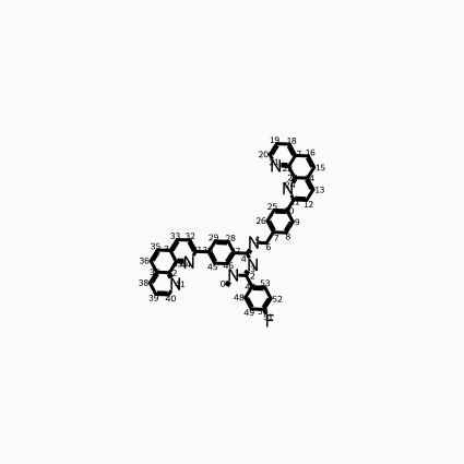 C=N/C(=N\C(=N/Cc1ccc(-c2ccc3ccc4cccnc4c3n2)cc1)c1ccc(-c2ccc3ccc4cccnc4c3n2)cc1)c1ccc(F)cc1